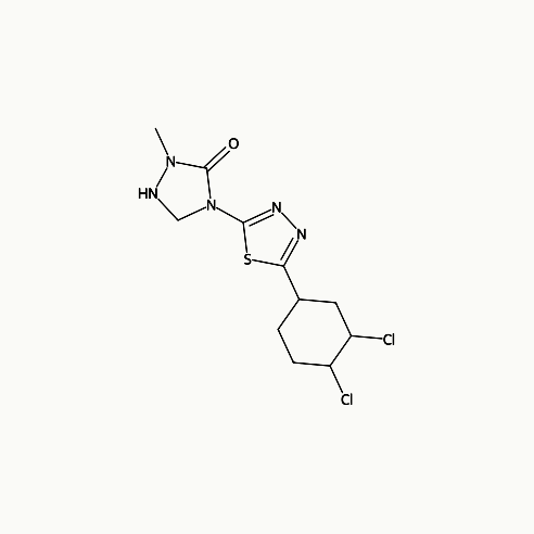 CN1NCN(c2nnc(C3CCC(Cl)C(Cl)C3)s2)C1=O